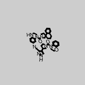 N#Cc1n[nH]cc1C1CCN(C(=O)N2CCOc3ccccc32)C1.O=C(N1CCC2(CCCc3ccccc32)C1)N1CCNc2ccccc21